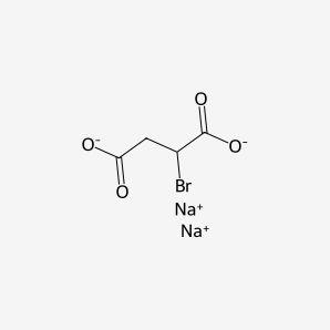 O=C([O-])CC(Br)C(=O)[O-].[Na+].[Na+]